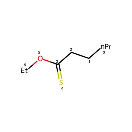 CCCCCC(=S)OCC